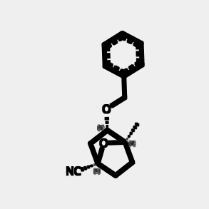 C[C@@]12CC[C@@](C#N)(C[C@@H]1OCc1ccccc1)O2